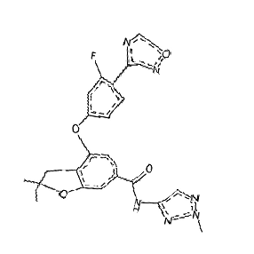 Cn1ncc(NC(=O)c2cc(Oc3ccc(-c4ncon4)c(F)c3)c3c(c2)OC(C)(C)C3)n1